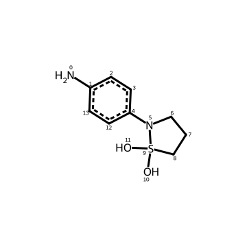 Nc1ccc(N2CCCS2(O)O)cc1